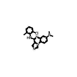 Cc1cccc(Cl)c1Nc1nc2cc(N(C)C)ccc2n2cncc12